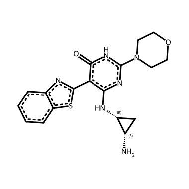 N[C@H]1C[C@H]1Nc1nc(N2CCOCC2)[nH]c(=O)c1-c1nc2ccccc2s1